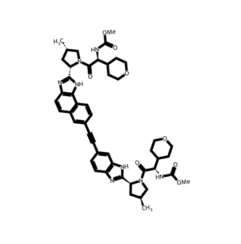 COC(=O)N[C@H](C(=O)N1C[C@@H](C)C[C@H]1c1nc2ccc(C#Cc3ccc4c(ccc5nc([C@@H]6C[C@H](C)CN6C(=O)[C@@H](NC(=O)OC)C6CCOCC6)[nH]c54)c3)cc2[nH]1)C1CCOCC1